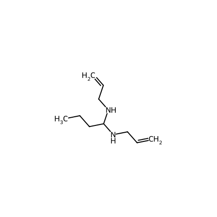 C=CCNC(CCC)NCC=C